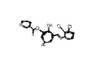 O=C(Oc1cc(Br)cc(C=Nc2cccc(Cl)c2Cl)c1O)c1cccnc1